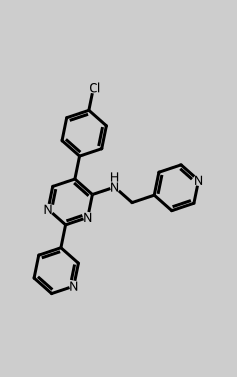 Clc1ccc(-c2cnc(-c3cccnc3)nc2NCc2ccncc2)cc1